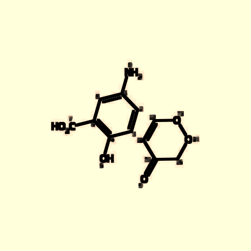 Nc1ccc(O)c(C(=O)O)c1.O=C1C=COOC1